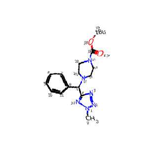 Cn1nnc(C(c2ccccc2)N2CCN(C(=O)OC(C)(C)C)CC2)n1